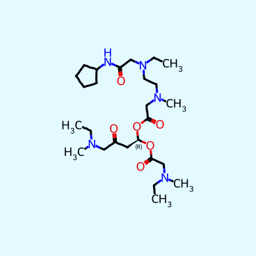 CCN(C)CC(=O)C[C@H](OC(=O)CN(C)CC)OC(=O)CN(C)CCN(CC)CC(=O)NC1CCCC1